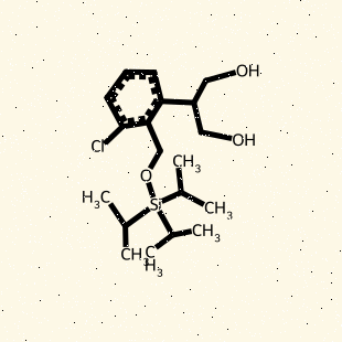 CC(C)[Si](OCc1c(Cl)cccc1C(CO)CO)(C(C)C)C(C)C